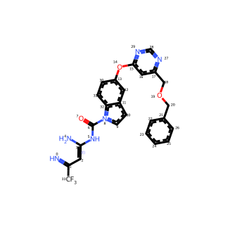 N=C(/C=C(\N)NC(=O)n1ccc2cc(Oc3cc(COCc4ccccc4)ncn3)ccc21)C(F)(F)F